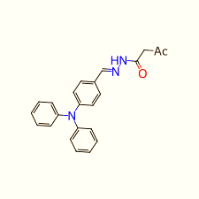 CC(=O)CC(=O)N/N=C/c1ccc(N(c2ccccc2)c2ccccc2)cc1